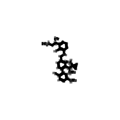 CCC[C@@H](CC(=O)O)c1cccc(OCc2ccc(-c3cc(OC)ccc3F)c([C@H](OC)C3(C)CC3)c2)c1F